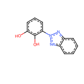 Oc1cccc(-n2nc3ccccc3n2)c1O